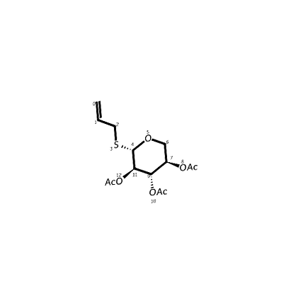 C=CCS[C@@H]1OC[C@@H](OC(C)=O)[C@H](OC(C)=O)[C@H]1OC(C)=O